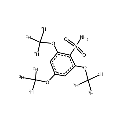 [2H]C([2H])([2H])Oc1cc(OC([2H])([2H])[2H])c(S(N)(=O)=O)c(OC([2H])([2H])[2H])c1